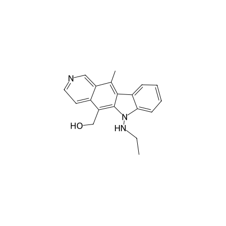 CCNn1c2ccccc2c2c(C)c3cnccc3c(CO)c21